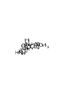 COC(=O)Oc1ccc2c(c1)NC(=O)N(C1CCNCC1)C2